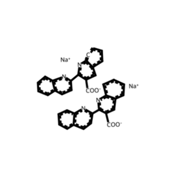 O=C([O-])c1cc2ccccc2nc1-c1ccc2ccccc2n1.O=C([O-])c1cc2ccccc2nc1-c1ccc2ccccc2n1.[Na+].[Na+]